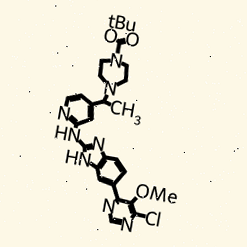 COc1c(Cl)ncnc1-c1ccc2nc(Nc3cc(C(C)N4CCN(C(=O)OC(C)(C)C)CC4)ccn3)[nH]c2c1